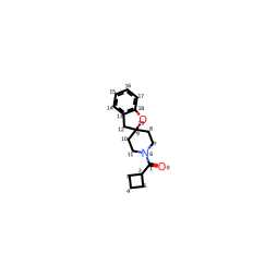 O=C(C1CCC1)N1CCC2(CC1)Cc1ccccc1O2